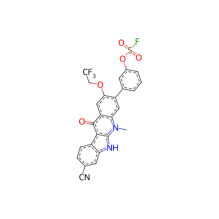 Cn1c2cc(-c3cccc(OS(=O)(=O)F)c3)c(OCC(F)(F)F)cc2c(=O)c2c3ccc(C#N)cc3[nH]c21